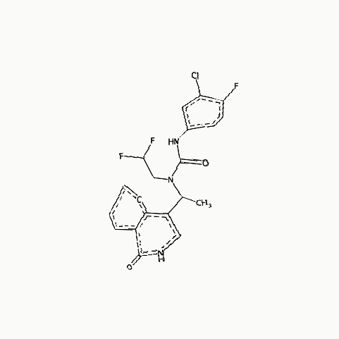 CC(c1c[nH]c(=O)c2ccccc12)N(CC(F)F)C(=O)Nc1ccc(F)c(Cl)c1